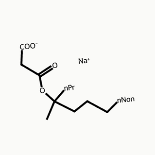 CCCCCCCCCCCCC(C)(CCC)OC(=O)CC(=O)[O-].[Na+]